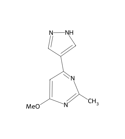 COc1cc(-c2cn[nH]c2)nc(C)n1